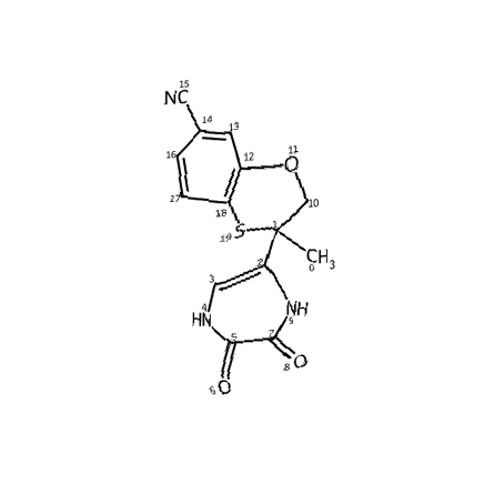 CC1(c2c[nH]c(=O)c(=O)[nH]2)COc2cc(C#N)ccc2S1